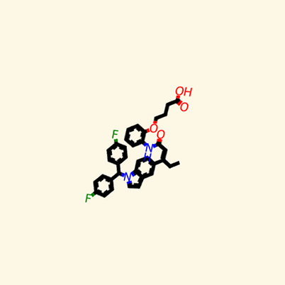 CC/C(=C/C(=O)Nc1ccccc1OCCCC(=O)O)c1ccc2c(ccn2C(c2ccc(F)cc2)c2ccc(F)cc2)c1